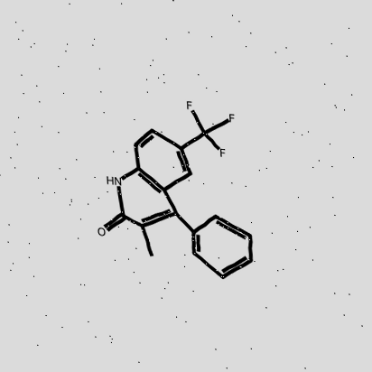 Cc1c(-c2ccccc2)c2cc(C(F)(F)F)ccc2[nH]c1=O